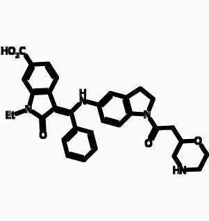 CCN1C(=O)C(=C(Nc2ccc3c(c2)CCN3C(=O)CC2CNCCO2)c2ccccc2)c2ccc(C(=O)O)cc21